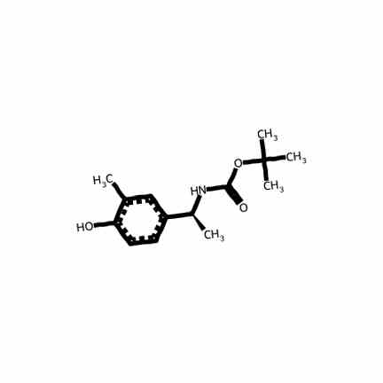 Cc1cc([C@H](C)NC(=O)OC(C)(C)C)ccc1O